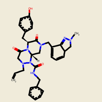 C=CCN1CC(=O)N2[C@@H](Cc3ccc(O)cc3)C(=O)N(CC3=CC=CC4CN(C)N=C34)C[C@@H]2N1C(=O)NCc1ccccc1